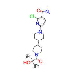 CC(C)C(O)(C(=O)N1CCC(C2CCN(c3ccc(C(=O)N(C)C)c(Cl)n3)CC2)CC1)C(C)C